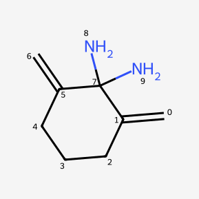 C=C1CCCC(=C)C1(N)N